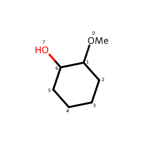 COC1CCCCC1O